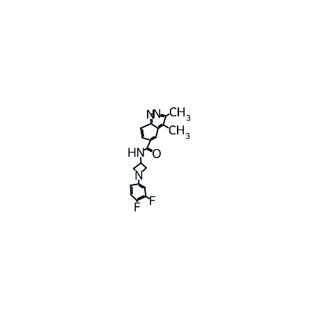 Cc1nnc2ccc(C(=O)NC3CN(c4ccc(F)c(F)c4)C3)cc2c1C